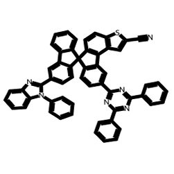 N#Cc1cc2c3c(ccc2s1)C1(c2ccccc2-c2cc(-c4nc5ccccc5n4-c4ccccc4)ccc21)c1ccc(-c2nc(-c4ccccc4)nc(-c4ccccc4)n2)cc1-3